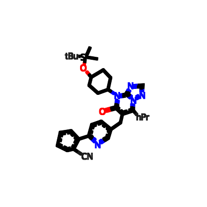 CCCc1c(Cc2ccc(-c3ccccc3C#N)nc2)c(=O)n(C2CCC(O[Si](C)(C)C(C)(C)C)CC2)c2ncnn12